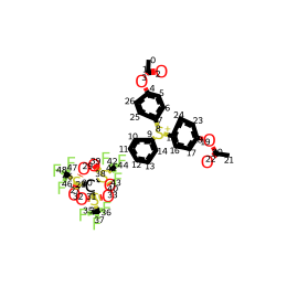 CC(=O)Oc1ccc([S+](c2ccccc2)c2ccc(OC(C)=O)cc2)cc1.O=S(=O)([C-](S(=O)(=O)C(F)(F)F)S(=O)(=O)C(F)(F)F)C(F)(F)F